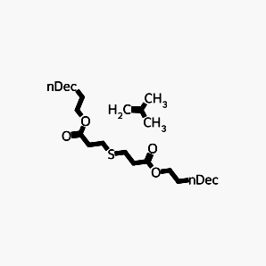 C=C(C)C.CCCCCCCCCCCCOC(=O)CCSCCC(=O)OCCCCCCCCCCCC